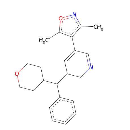 Cc1noc(C)c1C1=CC(C(c2ccccc2)C2CCOCC2)CN=C1